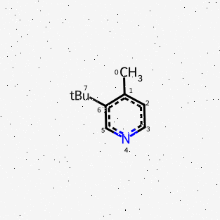 Cc1ccncc1C(C)(C)C